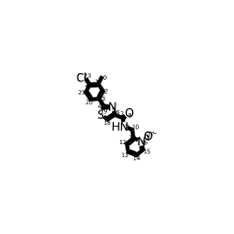 Cc1cc(-c2nc(C(=O)NCc3cccc[n+]3[O-])cs2)ccc1Cl